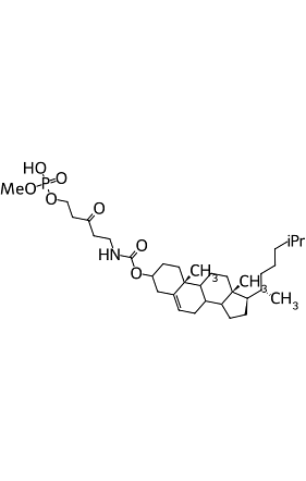 COP(=O)(O)OCCC(=O)CCNC(=O)OC1CC[C@@]2(C)C(=CCC3C2CC[C@@]2(C)C3CC[C@@H]2[C@@H](C)CCCC(C)C)C1